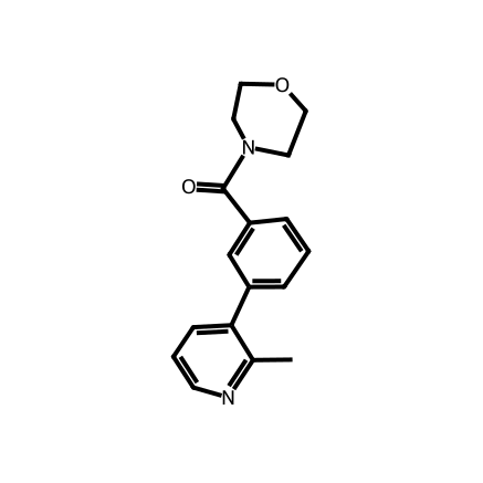 Cc1ncccc1-c1cccc(C(=O)N2CCOCC2)c1